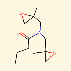 CCCC(=O)N(CC1(C)CO1)CC1(C)CO1